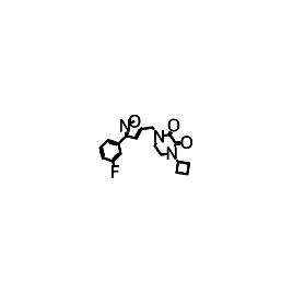 O=C1C(=O)N(C2CCC2)CCN1Cc1cc(-c2cccc(F)c2)no1